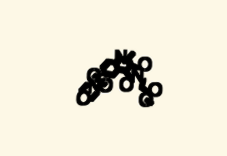 COC(=O)CCN1C(=O)c2c(C)nc3ccc(S(=O)(=O)N4CCOCC4)cc3c2C1=O